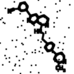 Cc1cc(-c2ccc(CCNc3nccc4cc(-c5cccc(C#N)c5)ncc34)cc2)ccn1